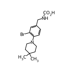 CC1(C)CCN(c2ccc(CNC(=O)O)cc2Br)CC1